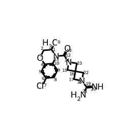 CC1COc2cc(Cl)ccc2N1C(=O)N1CC2(CN(C(=N)N)C2)C1